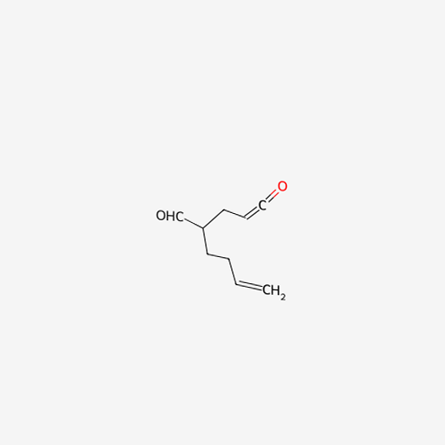 C=CCCC(C=O)CC=C=O